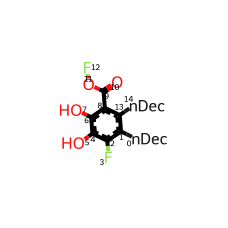 CCCCCCCCCCc1c(F)c(O)c(O)c(C(=O)OF)c1CCCCCCCCCC